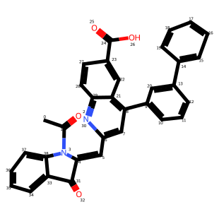 CC(=O)N1/C(=C\c2cc(-c3cccc(-c4ccccc4)c3)c3cc(C(=O)O)ccc3n2)C(=O)c2ccccc21